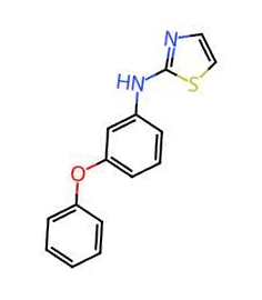 c1ccc(Oc2cccc(Nc3nccs3)c2)cc1